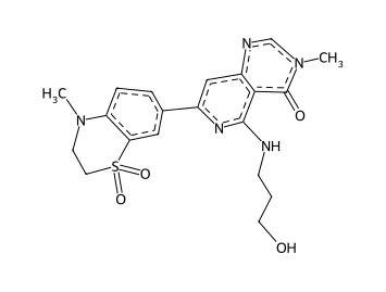 CN1CCS(=O)(=O)c2cc(-c3cc4ncn(C)c(=O)c4c(NCCCO)n3)ccc21